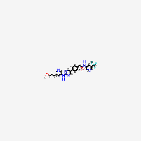 C/N=C\C(=C/CCCCOC)Nc1ncc(-c2ccc(CC(=O)Nc3cncc(C(F)(F)F)c3)cc2)cn1